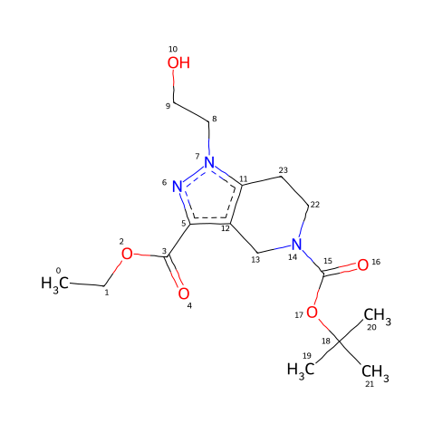 CCOC(=O)c1nn(CCO)c2c1CN(C(=O)OC(C)(C)C)CC2